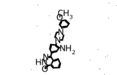 COc1cccc(N2CCN(c3ccc(-c4n[nH]c(=O)c5ccccc45)cc3N)CC2)c1